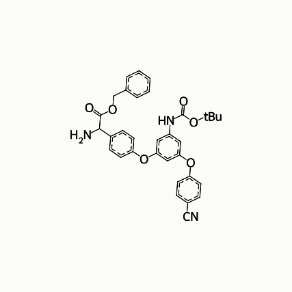 CC(C)(C)OC(=O)Nc1cc(Oc2ccc(C#N)cc2)cc(Oc2ccc(C(N)C(=O)OCc3ccccc3)cc2)c1